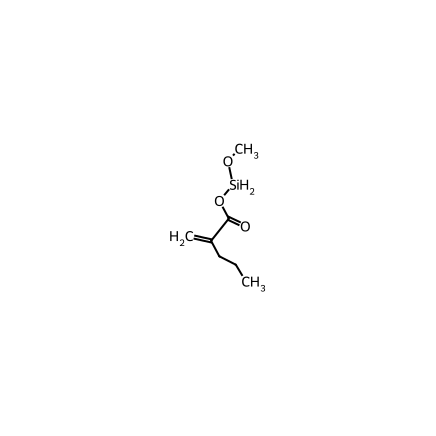 C=C(CCC)C(=O)O[SiH2]OC